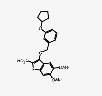 COc1cc2sc(C(=O)O)c(OCc3cccc(OC4CCCC4)c3)c2cc1OC